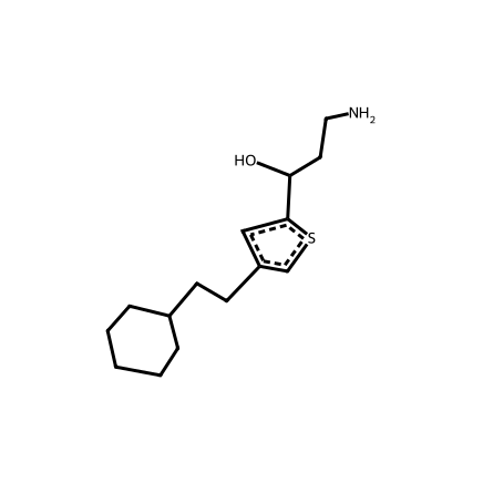 NCCC(O)c1cc(CCC2CCCCC2)cs1